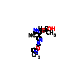 CC(C)(O)COc1cc(-c2ccc(N3CC(Oc4cccc(C(F)(F)F)n4)C3)nc2)c2c(C#N)cnn2c1